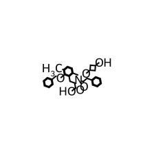 Cc1ccc2c(c1OCc1ccccc1)CC(C(=O)O)N(C(=O)C(OC1CC(O)C1)c1ccccc1)C2